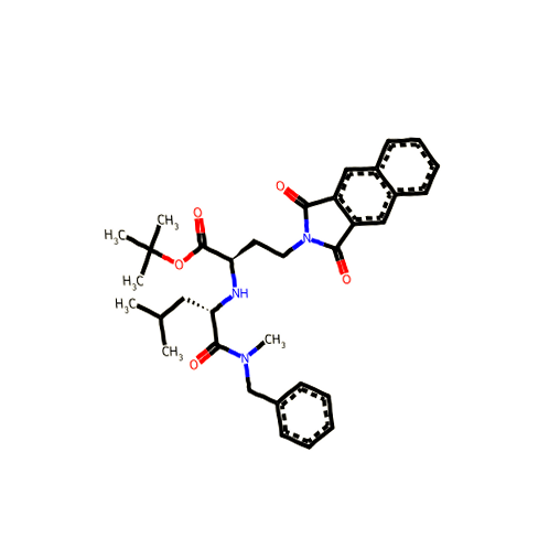 CC(C)C[C@H](N[C@H](CCN1C(=O)c2cc3ccccc3cc2C1=O)C(=O)OC(C)(C)C)C(=O)N(C)Cc1ccccc1